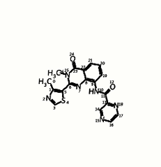 Cc1ncsc1-c1nc2c(NC(=O)c3cnccn3)cccc2c(=O)n1C